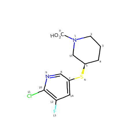 O=C(O)N1CCC[C@@H](Sc2cnc(Cl)c(F)c2)C1